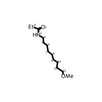 CCC(=O)NCCCCCCCCCOC